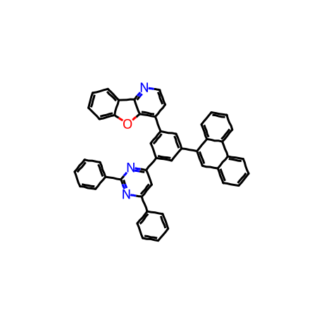 c1ccc(-c2cc(-c3cc(-c4cc5ccccc5c5ccccc45)cc(-c4ccnc5c4oc4ccccc45)c3)nc(-c3ccccc3)n2)cc1